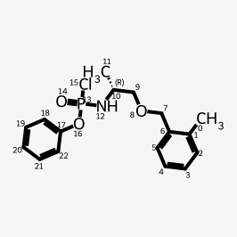 Cc1ccccc1COC[C@@H](C)NP(=O)(Cl)Oc1ccccc1